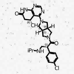 CC(C)NC[C@@H](C(=O)N1C[C@@H]2CN(c3ncnc4c3[C@H](C)CC(=O)N4)C[C@@H]2C1)c1ccc(Cl)cc1